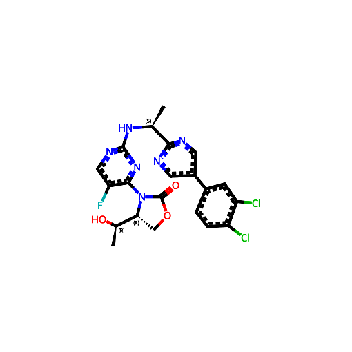 C[C@H](Nc1ncc(F)c(N2C(=O)OC[C@@H]2[C@@H](C)O)n1)c1ncc(-c2ccc(Cl)c(Cl)c2)cn1